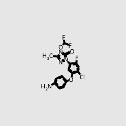 Cc1nn(-c2cc(Oc3ccc(N)cc3)c(Cl)cc2F)c(=O)n1OC(F)F